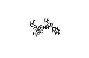 C[C@H]1CC[C@@H](C(=O)NCc2cc(-c3cnc(C(F)(F)F)nc3)ncc2C(F)(F)F)N1S(=O)(=O)c1cc2c(Cl)nccc2o1